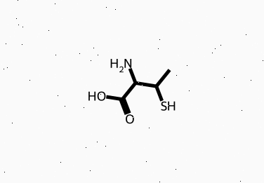 CC(S)C(N)C(=O)O